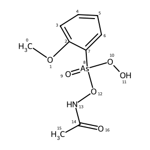 COc1ccccc1[As](=O)(OO)ONC(C)=O